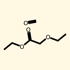 C=O.CCOCC(=O)OCC